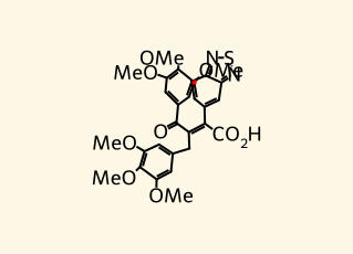 COc1cc(C/C(C(=O)c2cc(OC)c(OC)c(OC)c2)=C(\C(=O)O)c2ccc3nsnc3c2)cc(OC)c1OC